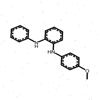 COc1ccc(Nc2ccccc2Nc2ccccc2)cc1